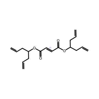 C=CCC(CC=C)OC(=O)/C=C/C(=O)OC(CC=C)CC=C